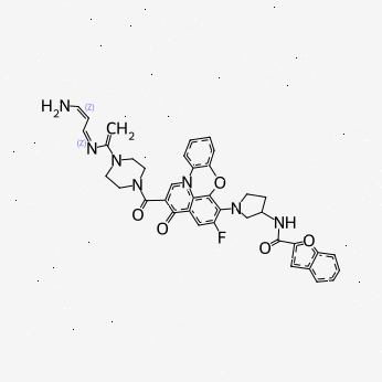 C=C(/N=C\C=C/N)N1CCN(C(=O)c2cn3c4c(c(N5CCC(NC(=O)c6cc7ccccc7o6)C5)c(F)cc4c2=O)Oc2ccccc2-3)CC1